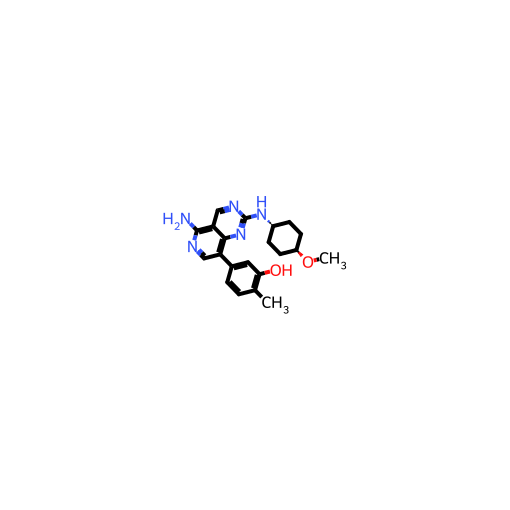 CO[C@H]1CC[C@H](Nc2ncc3c(N)ncc(-c4ccc(C)c(O)c4)c3n2)CC1